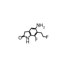 Nc1cc2c(c(F)c1CCF)NC(=O)C2